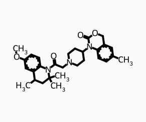 COc1ccc2c(c1)C(C)CC(C)(C)N2C(=O)CN1CCC(N2C(=O)OCc3cc(C)ccc32)CC1